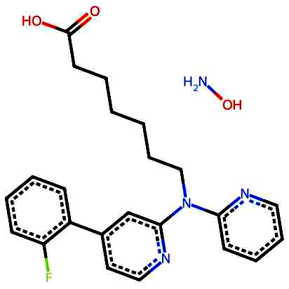 NO.O=C(O)CCCCCCN(c1ccccn1)c1cc(-c2ccccc2F)ccn1